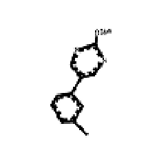 COc1ncc(-c2cccc(C)c2)cn1